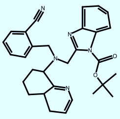 CC(C)(C)OC(=O)n1c(CN(Cc2ccccc2C#N)C2CCCC3CC=CN=C32)nc2ccccc21